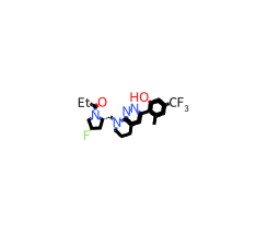 CCC(=O)N1C[C@H](F)C[C@H]1CN1CCCc2cc(-c3c(C)cc(C(F)(F)F)cc3O)nnc21